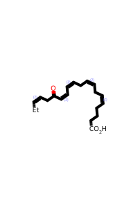 CC/C=C\CC(=O)/C=C\C=C/C/C=C\C/C=C\CCCC(=O)O